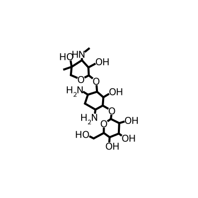 CNC1C(O)C(OC2C(N)CC(N)C(OC3OC(CO)C(O)C(O)C3O)C2O)OCC1(C)O